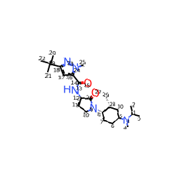 CC(C)N(C)C1CC[C@H](N2CCC(NC(=O)c3cc(C(C)(C)C)nn3C)C2=O)[C@H](C)C1